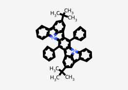 CC(C)(C)c1cc2c3ccccc3n3c4c(-c5ccccc5)c5c6cc(C(C)(C)C)cc7c8ccccc8n(c5c(-c5ccccc5)c4c(c1)c23)c76